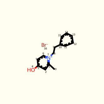 Cc1cc(O)cc[n+]1CCc1ccccc1.[Br-]